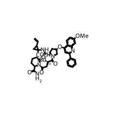 C=CC1CC1(NC(=O)[C@@H]1C[C@@H](Oc2cc(-c3ccccc3)nc3cc(OC)ccc23)CN1C(=O)[C@@H](CC(=O)N1CCCCC1C(N)=O)C(C)(C)C)C(=O)O